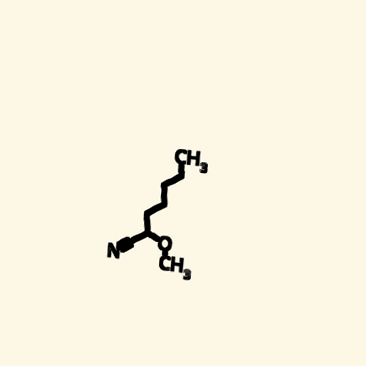 CCCCCC(C#N)OC